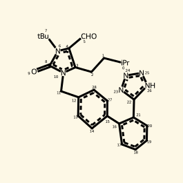 CC(C)CCc1c(C=O)n(C(C)(C)C)c(=O)n1Cc1ccc(-c2ccccc2-c2nnn[nH]2)cc1